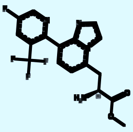 COC(=O)[C@@H](N)Cc1ccc(-c2ncc(F)cc2C(F)(F)F)c2nccn12